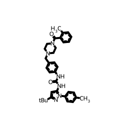 Cc1ccc(-n2nc(C(C)(C)C)cc2NC(=O)Nc2ccc(CN3CCN(C(=O)c4ccccc4C)CC3)cc2)cc1